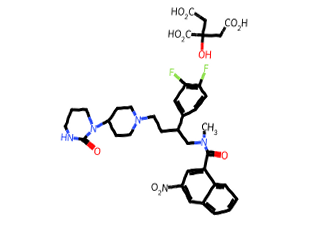 CN(CC(CCN1CCC(N2CCCNC2=O)CC1)c1ccc(F)c(F)c1)C(=O)c1cc([N+](=O)[O-])cc2ccccc12.O=C(O)CC(O)(CC(=O)O)C(=O)O